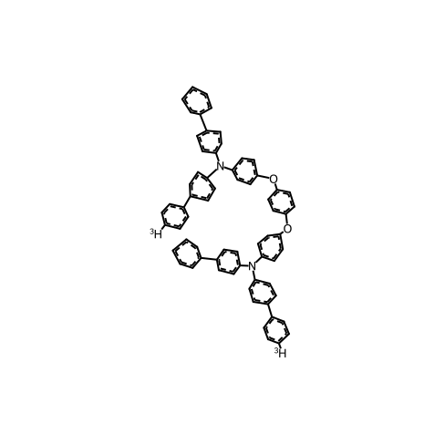 [3H]c1ccc(-c2ccc(N(c3ccc(Oc4ccc(Oc5ccc(N(c6ccc(-c7ccccc7)cc6)c6ccc(-c7ccc([3H])cc7)cc6)cc5)cc4)cc3)c3ccc(-c4ccccc4)cc3)cc2)cc1